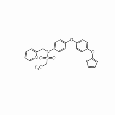 O=S(=O)(CC(F)(F)F)N(Cc1ccccn1)c1ccc(Oc2ccc(Oc3cccs3)cc2)cc1